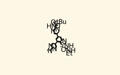 CCNC(=O)Nc1nc2cc(-c3cnc(NS(=O)(=O)C(C)(C)C)nc3)cc(-c3cnc(N(C)C)nc3)c2s1